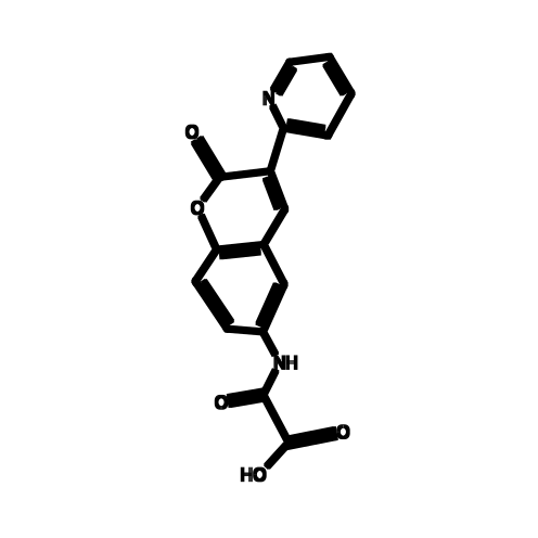 O=C(O)C(=O)Nc1ccc2oc(=O)c(-c3ccccn3)cc2c1